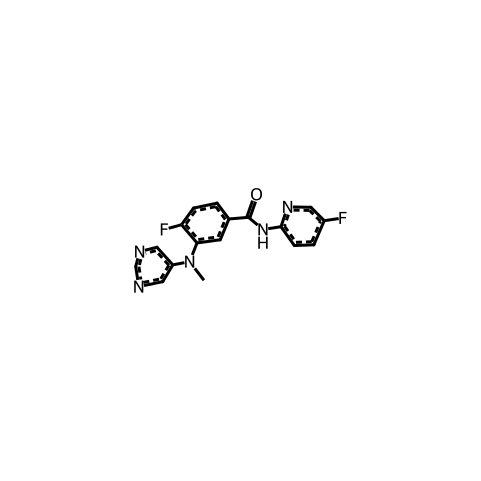 CN(c1cncnc1)c1cc(C(=O)Nc2ccc(F)cn2)ccc1F